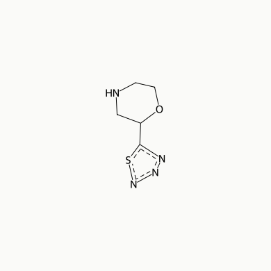 C1COC(c2nnns2)CN1